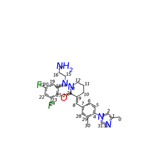 Cc1cn(-c2ccc(/C=C3\CCCN(N(CCN)c4cc(F)cc(F)c4)C3=O)cc2C)cn1